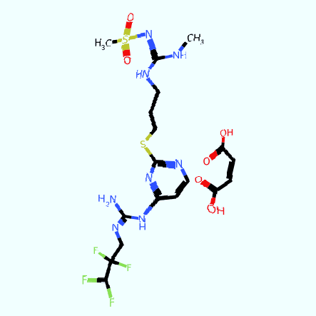 CN/C(=N/S(C)(=O)=O)NCCCSc1nccc(N/C(N)=N\CC(F)(F)C(F)F)n1.O=C(O)/C=C\C(=O)O